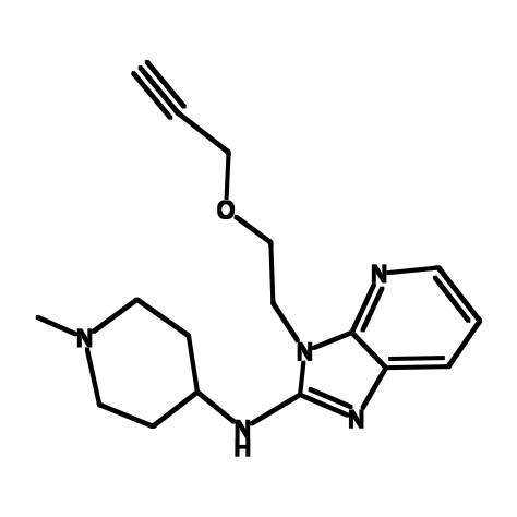 C#CCOCCn1c(NC2CCN(C)CC2)nc2cccnc21